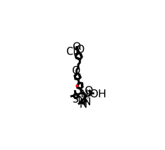 Cc1sc2c(c1C)C(c1ccc(-c3ccc(OCCCc4ccc(S(=O)(=O)Cl)cc4)cc3)cc1)=N[C@@H](CC(=O)O)c1nnc(C)n1-2